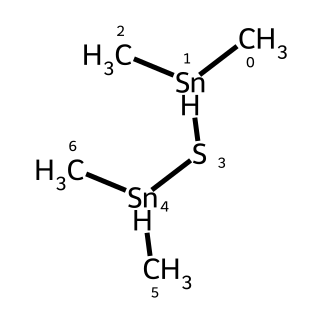 [CH3][SnH]([CH3])[S][SnH]([CH3])[CH3]